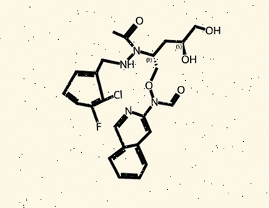 CC(=O)N(NCc1cccc(F)c1Cl)[C@@H](CON(C=O)c1cc2ccccc2cn1)C[C@H](O)CO